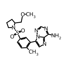 COCC1CCCN1S(=O)(=O)c1ccc(C)c(-c2cnc3c(N)ncnn23)c1